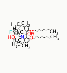 CCCCCCCCOc1ccc(C(C)(C)C)cc1C(O)(c1cc(C(C)(C)C)ccc1OCCCCCCCC)C(C)N=Cc1cccc(F)c1O